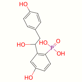 O=P(O)(O)c1ccc(O)cc1C(O)Cc1ccc(O)cc1